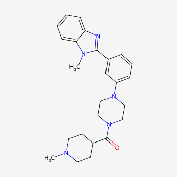 CN1CCC(C(=O)N2CCN(c3cccc(-c4nc5ccccc5n4C)c3)CC2)CC1